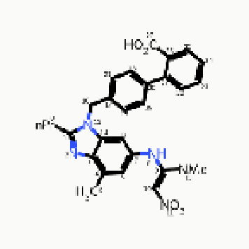 CCCc1nc2c(C)cc(NC(=C[N+](=O)[O-])NC)cc2n1Cc1ccc(-c2ccccc2C(=O)O)cc1